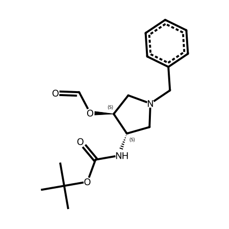 CC(C)(C)OC(=O)N[C@H]1CN(Cc2ccccc2)C[C@@H]1OC=O